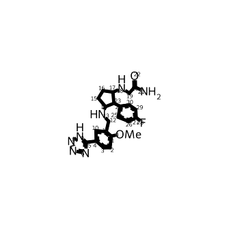 COc1ccc(-c2nnn[nH]2)cc1CNC1CCC(NCC(N)=O)C1c1ccc(F)cc1